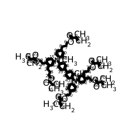 C=C(C)C(=O)OCCCc1ccc(N(c2ccc(CCOC(=O)C(=C)C)c(CCCOC(=O)C(=C)C)c2)c2ccc(-c3ccc(N(c4ccc(CCOC(=O)C(=C)C)cc4)c4ccc(CCOC(=O)C(=C)C)c(CCCOC(=O)C(=C)C)c4)c(C)c3)cc2C)cc1